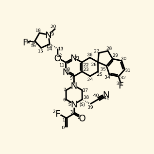 C=C(F)C(=O)N1CCN(c2nc(OC[C@@H]3C[C@@H](F)CN3C)nc3c2CCC2(CCc4ccc(F)cc42)C3)C[C@@H]1CC#N